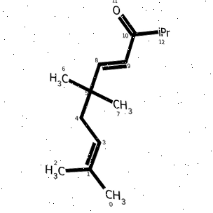 CC(C)=CCC(C)(C)/C=C/C(=O)C(C)C